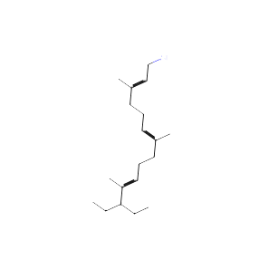 CCC(CC)C(C)=CCCC(C)=CCCC(C)=CCN